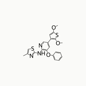 COc1cc(-c2cnc(Nc3nc(C)cs3)c(Oc3ccccc3)c2)c(OC)s1